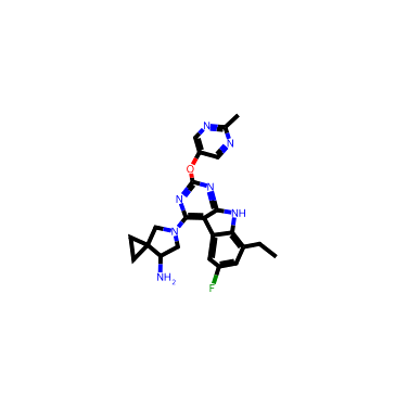 CCc1cc(F)cc2c1[nH]c1nc(Oc3cnc(C)nc3)nc(N3CC(N)C4(CC4)C3)c12